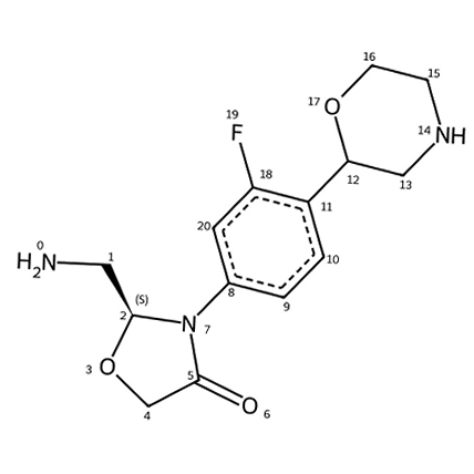 NC[C@@H]1OCC(=O)N1c1ccc(C2CNCCO2)c(F)c1